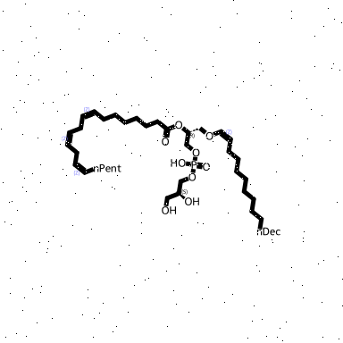 CCCCC/C=C\C/C=C\C/C=C\CCCCCCC(=O)O[C@H](CO/C=C\CCCCCCCCCCCCCCCCCC)COP(=O)(O)OC[C@@H](O)CO